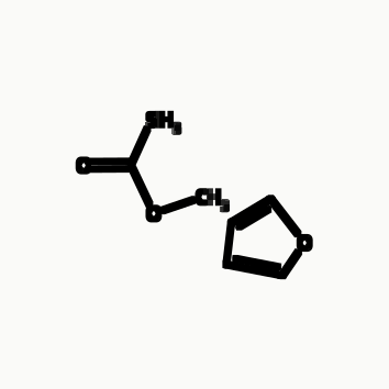 COC(=O)[SiH3].c1ccoc1